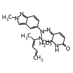 C=C/C=C(/C)N(C)N(/N=C1/C=CC(=O)NC1=C)c1ccc2nn(C)cc2c1